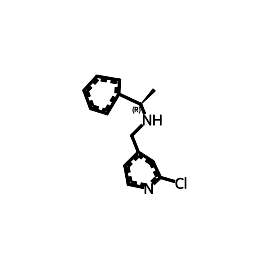 C[C@@H](NCc1ccnc(Cl)c1)c1ccccc1